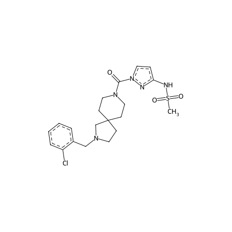 CS(=O)(=O)Nc1ccn(C(=O)N2CCC3(CCN(Cc4ccccc4Cl)C3)CC2)n1